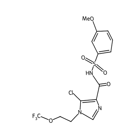 COc1cccc(S(=O)(=O)NC(=O)c2ncn(CCOC(F)(F)F)c2Cl)c1